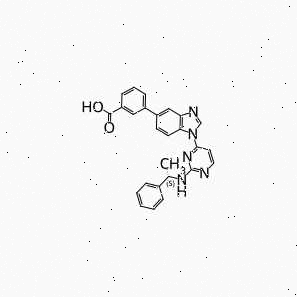 C[C@H](Nc1nccc(-n2cnc3cc(-c4cccc(C(=O)O)c4)ccc32)n1)c1ccccc1